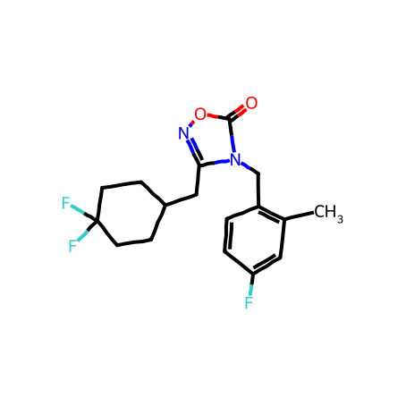 Cc1cc(F)ccc1Cn1c(CC2CCC(F)(F)CC2)noc1=O